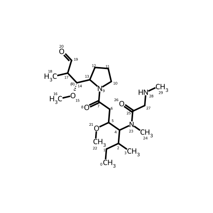 CCC(C)C(C(CC(=O)N1CCCC1[C@H](OC)C(C)C=O)OC)N(C)C(=O)CNC